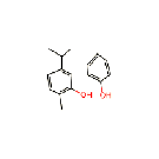 Cc1ccc(C(C)C)cc1O.Oc1ccccc1